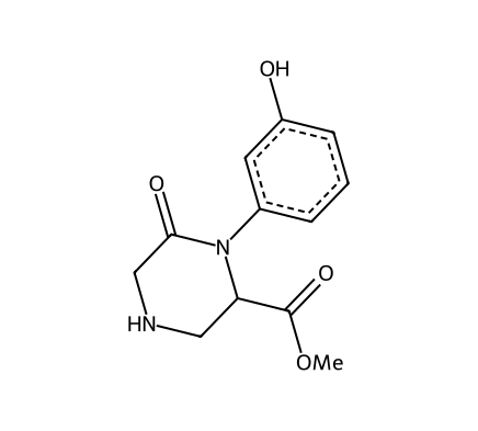 COC(=O)C1CNCC(=O)N1c1cccc(O)c1